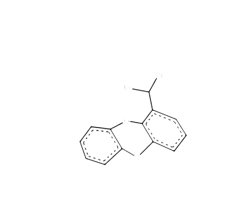 BrC(Br)c1cccc2c1Oc1ccccc1S2